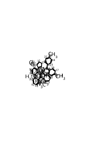 CC1=CC=CC2[CH]([Zr+2]([C]3=C(C)C=CC3)=[C](c3ccc(C)cc3)c3ccc(C)cc3)C3(C)C4(C)C=CC=CC4(C)C4(C)C=CC=CC4(C)C3(C)C12C.[Cl-].[Cl-]